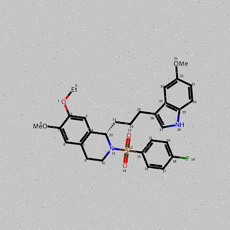 CCOc1cc2c(cc1OC)CCN(S(=O)(=O)c1ccc(F)cc1)[C@H]2CCCc1c[nH]c2ccc(OC)cc12